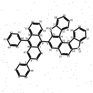 c1ccc(-c2ccc3c(-c4cc5ccc6sc7ccccc7c6c5c5c4sc4ccccc45)c4ccccc4c(-c4ccccc4)c3c2)cc1